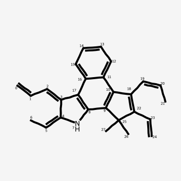 C=C/C=c1\c(=C/C)[nH]c2c3c(c4ccccc4c12)C(/C=C\C)=C(C=C)C3(C)C